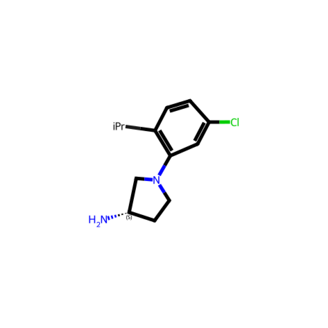 CC(C)c1ccc(Cl)cc1N1CC[C@H](N)C1